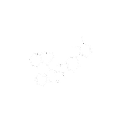 COc1ccccc1C(c1cccc2ccccc12)[C@@](C)(C#N)C(=O)N1CCN(c2cccc(Cl)c2Cl)CC1